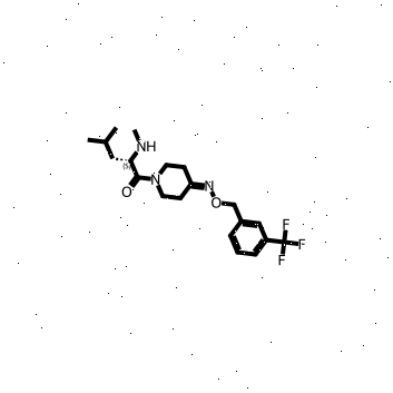 CN[C@@H](CC(C)C)C(=O)N1CCC(=NOCc2cccc(C(F)(F)F)c2)CC1